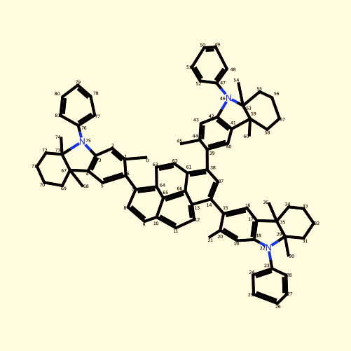 Cc1cc2c(cc1-c1ccc3ccc4c(-c5cc6c(cc5C)N(c5ccccc5)C5(C)CCCCC65C)cc(-c5cc6c(cc5C)N(c5ccccc5)C5(C)CCCCC65C)c5ccc1c3c45)C1(C)CCCCC1(C)N2c1ccccc1